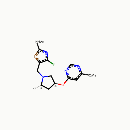 COc1cc(O[C@H]2C[C@H](C)N(Cc3sc(NC(C)=O)nc3F)C2)ncn1